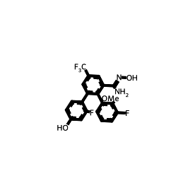 COc1c(F)cccc1-c1c(/C(N)=N/O)cc(C(F)(F)F)cc1-c1ccc(O)cc1F